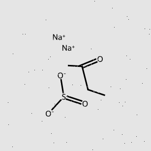 CCC(C)=O.O=S([O-])[O-].[Na+].[Na+]